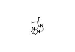 F[C](F)c1nccn2cnnc12